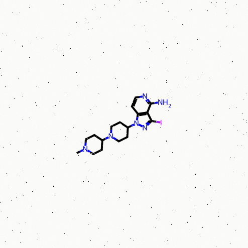 CN1CCC(N2CCC(n3nc(I)c4c(N)nccc43)CC2)CC1